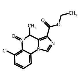 CCOC(=O)c1ncn2c1C(C)[N+](=O)c1c(Cl)cccc1-2